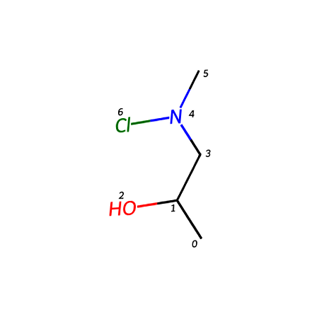 CC(O)CN(C)Cl